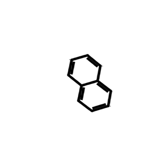 [c]1ccc2c[c]c[c]c2c1